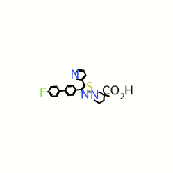 CC1(C(=O)O)CCCN(c2nc(-c3ccc(-c4ccc(F)cc4)cc3)c(-c3cccnc3)s2)C1